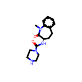 CN1C(=O)[C@@H](NC(=O)N2CCNCC2)CCc2ccccc21